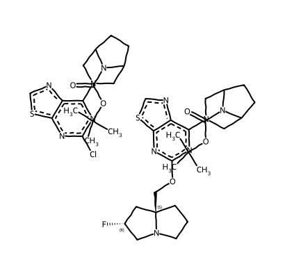 CC(C)(C)OC(=O)N1C2CCC1CN(c1nc(Cl)nc3scnc13)C2.CC(C)(C)OC(=O)N1C2CCC1CN(c1nc(OC[C@@]34CCCN3C[C@H](F)C4)nc3scnc13)C2